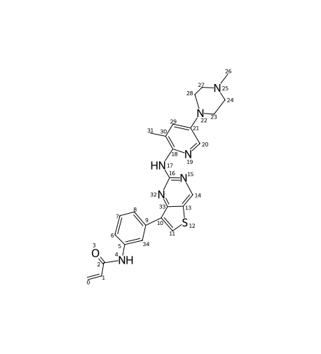 C=CC(=O)Nc1cccc(-c2csc3cnc(Nc4ncc(N5CCN(C)CC5)cc4C)nc23)c1